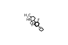 C=C1CCC(c2c(F)cc(N3CCCC3)cc2F)C(=C)N1